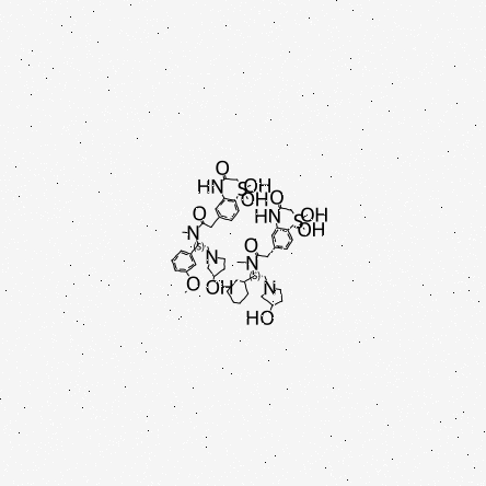 CN(C(=O)Cc1ccc2c(c1)NC(=O)CS2(O)O)[C@H](CN1CCC(O)C1)C1CCCCC1.COc1cccc([C@@H](CN2CCC(O)C2)N(C)C(=O)Cc2ccc3c(c2)NC(=O)CS3(O)O)c1